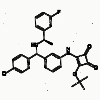 C[C@@H](NC(c1ccc(Cl)cc1)c1cccc(Nc2c(OC(C)(C)C)c(=O)c2=O)c1)c1cccc(F)c1